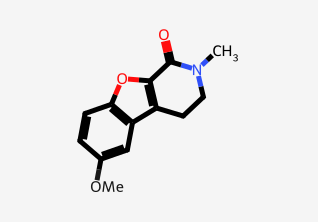 COc1ccc2oc3c(c2c1)CCN(C)C3=O